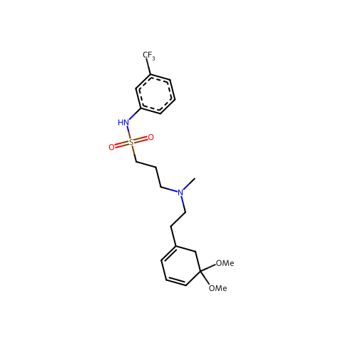 COC1(OC)C=CC=C(CCN(C)CCCS(=O)(=O)Nc2cccc(C(F)(F)F)c2)C1